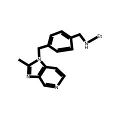 CCNCc1ccc(Cn2c(C)nc3cnccc32)cc1